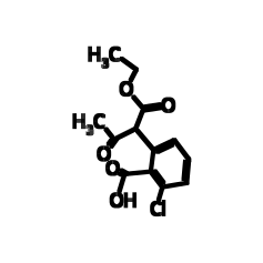 CCOC(=O)C(C(C)=O)c1cccc(Cl)c1C(=O)O